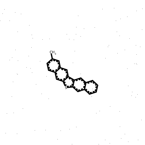 Cc1ccc2cc3sc4cc5ccccc5cc4c3cc2c1